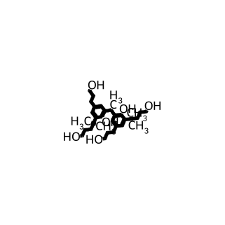 CC(c1cc(CCCO)cc(C(C)(C)CCCO)c1O)c1cc(CCCO)cc(C(C)(C)CCCO)c1O